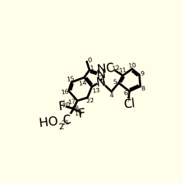 Cc1nn(Cc2c(Cl)cccc2C#N)c2c1C=CC(C(F)(F)C(=O)O)C2